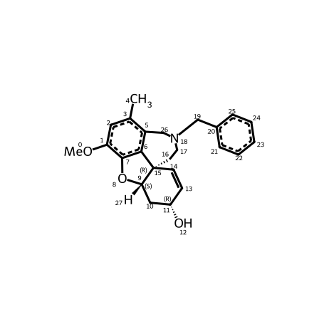 COc1cc(C)c2c3c1O[C@H]1C[C@@H](O)C=C[C@]31CCN(Cc1ccccc1)C2